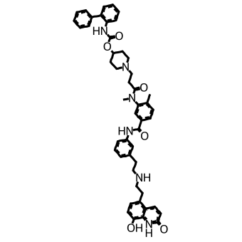 Cc1ccc(C(=O)Nc2cccc(CCNCCc3ccc(O)c4[nH]c(=O)ccc34)c2)cc1N(C)C(=O)CCN1CCC(OC(=O)Nc2ccccc2-c2ccccc2)CC1